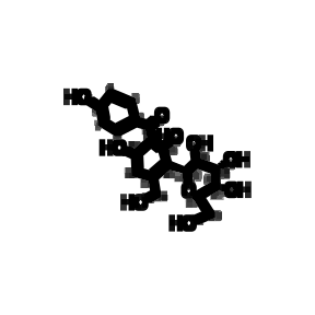 O=C(c1ccc(O)cc1)c1c(O)cc(CO)c([C@@H]2OC(CO)[C@@H](O)[C@@H](O)C2O)c1O